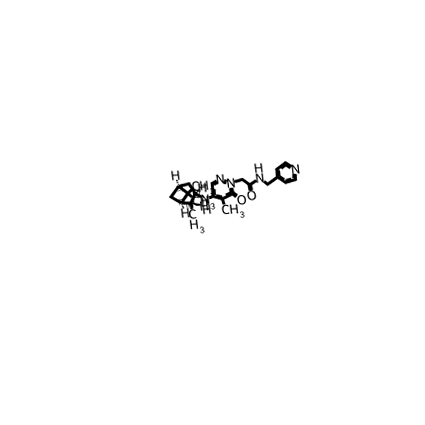 Cc1c(N[C@@H]2C[C@@H]3C[C@H]([C@H]2C)C3(C)C)cnn(CC(=O)NCc2ccncc2)c1=O